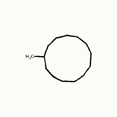 CC1CCCCCCCCCCCC1